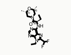 CC[C@@H](Nc1ncnc2c1nc(C(F)F)n2CC)C(=O)N1C[C@@H](C)O[C@@H](C)C1